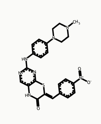 CN1CCN(c2ccc(Nc3ncc4c(n3)SC(=Cc3ccc([N+](=O)[O-])cc3)C(=O)N4)cc2)CC1